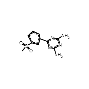 CS(=O)(=O)c1cccc(-c2nc(N)nc(N)n2)c1